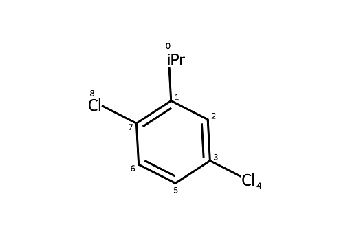 [CH2]C(C)c1cc(Cl)ccc1Cl